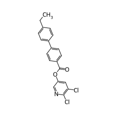 CCc1ccc(-c2ccc(C(=O)Oc3cnc(Cl)c(Cl)c3)cc2)cc1